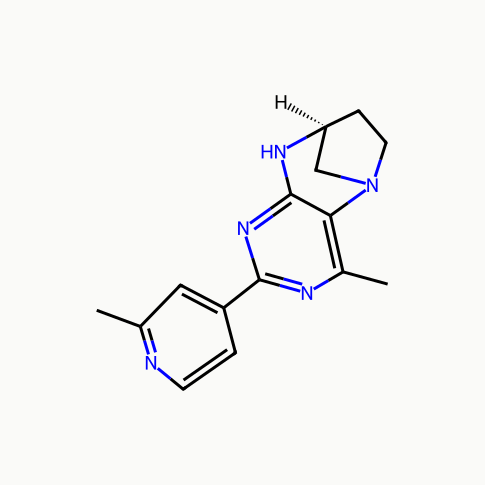 Cc1cc(-c2nc(C)c3c(n2)N[C@H]2CCN3C2)ccn1